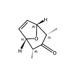 C[C@@H]1C(=O)[C@H](C)[C@@H]2C=C[C@H]1O2